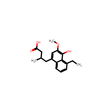 CCc1cccc2c(CC(C)CC(=O)O)cc(OC)c(O)c12